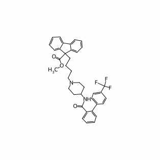 COC(=O)C1(CCCCN2CCC(NC(=O)c3ccccc3-c3ccc(C(F)(F)F)cc3)CC2)c2ccccc2-c2ccccc21